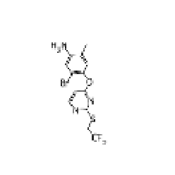 Cc1cc(Oc2ccnc(SCC(F)(F)F)n2)c(Br)cc1N